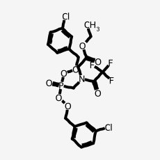 CCOC(=O)CN(CP(=O)(OOCc1cccc(Cl)c1)OOCc1cccc(Cl)c1)C(=O)C(F)(F)F